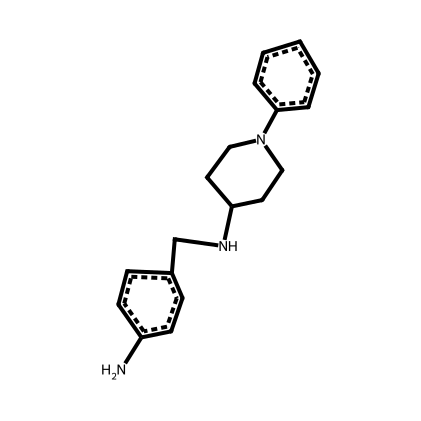 Nc1ccc(CNC2CCN(c3ccccc3)CC2)cc1